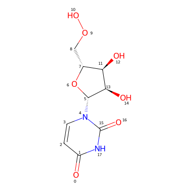 O=c1ccn([C@@H]2O[C@H](COO)[C@@H](O)[C@H]2O)c(=O)[nH]1